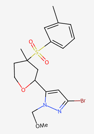 COCn1nc(Br)cc1C1CC(C)(S(=O)(=O)c2cccc(C)c2)CCO1